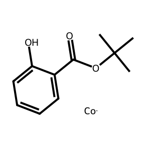 CC(C)(C)OC(=O)c1ccccc1O.[Co]